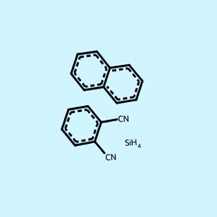 N#Cc1ccccc1C#N.[SiH4].c1ccc2ccccc2c1